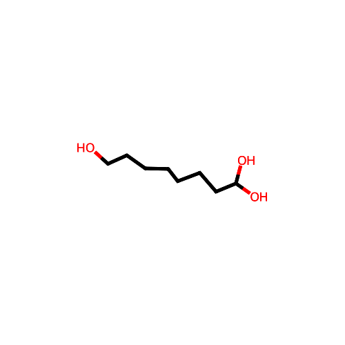 OCCCCCCCC(O)O